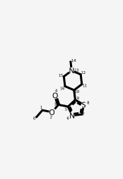 CCOC(=O)c1ncsc1C1CCN(C)CC1